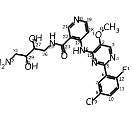 COc1cnc(-c2cc(Cl)ccc2F)nc1Nc1ccncc1C(=O)NCC(O)C(O)CN